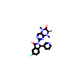 C[C@@H]1C(=O)N(C)c2cnc(N3C(=O)c4cc(F)ccc4C3c3cccnc3)nc2N1C